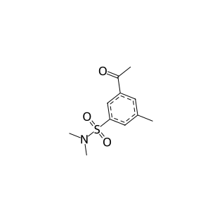 CC(=O)c1cc(C)cc(S(=O)(=O)N(C)C)c1